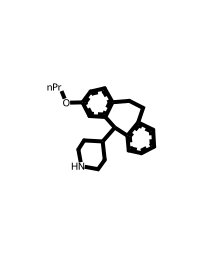 CCCOc1ccc2c(c1)C(C1CCNCC1)c1ccccc1CC2